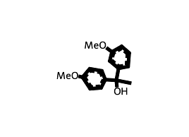 COc1ccc(C(C)(O)c2cccc(OC)c2)cc1